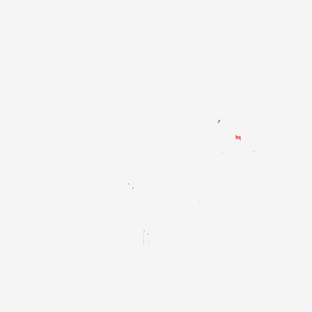 O=C1NC=CN(S(=O)(=O)c2ccc(Cl)c(Cl)c2)[C@@H]1CC(=O)N1CC2CCC(CC2)C1